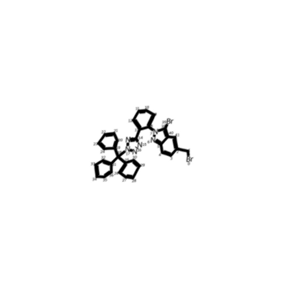 BrCc1ccc2nn(-c3ccccc3-c3nnn(C(c4ccccc4)(c4ccccc4)c4ccccc4)n3)c(Br)c2c1